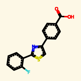 O=C(O)c1ccc(-c2csc(-c3ccccc3F)n2)cc1